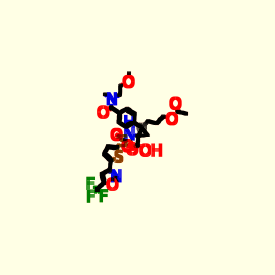 COCCN(C)C(=O)c1ccc([C@]2(CCCOC(C)=O)CC2(NS(=O)(=O)c2ccc(-c3cc(C(F)(F)F)on3)s2)C(=O)O)cc1